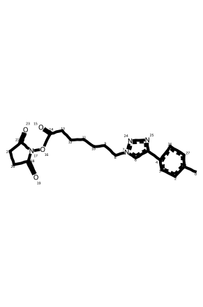 Cc1ccc(-c2cn(CCCCCCC(=O)ON3C(=O)CCC3=O)nn2)cc1